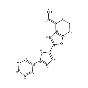 O/N=C1\CCCc2oc(-c3cnc(-c4cccnc4)s3)nc21